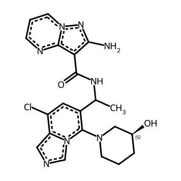 CC(NC(=O)c1c(N)nn2cccnc12)c1cc(Cl)c2cncn2c1N1CCC[C@H](O)C1